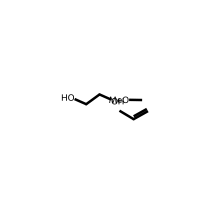 C=CC.COC.OCCO